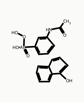 CC(=O)Nc1cccc([As](=O)(O)OO)c1.Oc1cccc2ccccc12